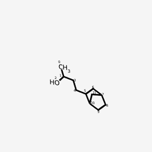 CC(O)CCC1CC2CCC1C2